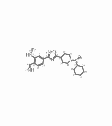 CC(C)Nc1cc(-c2noc(C3CCN([S+]([O-])C4CCCCC4)CC3)n2)ccc1C=N